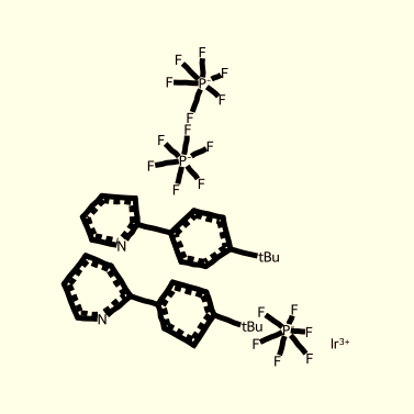 CC(C)(C)c1ccc(-c2ccccn2)cc1.CC(C)(C)c1ccc(-c2ccccn2)cc1.F[P-](F)(F)(F)(F)F.F[P-](F)(F)(F)(F)F.F[P-](F)(F)(F)(F)F.[Ir+3]